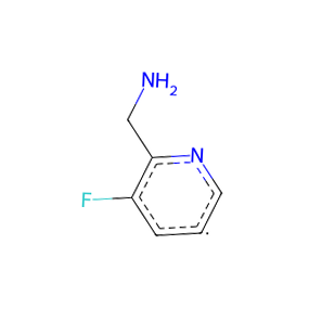 NCc1nc[c]cc1F